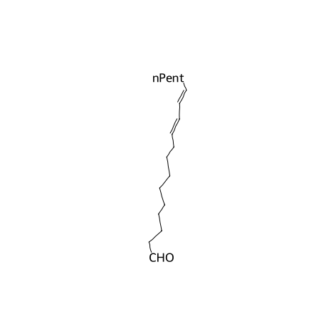 CCCCCC=CC=CCCCCCCCCC=O